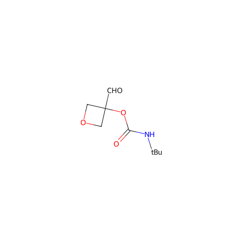 CC(C)(C)NC(=O)OC1(C=O)COC1